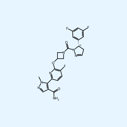 Cn1ncc(C(N)=O)c1-c1ccc(F)c(OC2CN(C(=O)N3N=CC[C@H]3c3cc(F)cc(F)c3)C2)n1